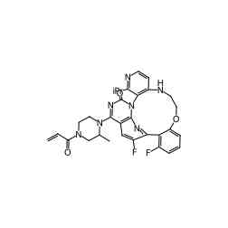 C=CC(=O)N1CCN(c2nc(=O)n3c4nc(c(F)cc24)-c2c(F)cccc2OCCNc2ccnc(C(C)C)c2-3)C(C)C1